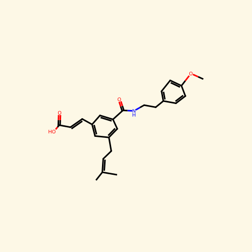 COc1ccc(CCNC(=O)c2cc(/C=C/C(=O)O)cc(CC=C(C)C)c2)cc1